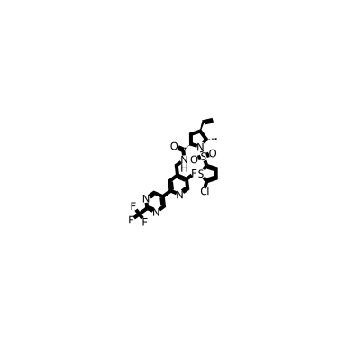 C=C[C@@H]1C[C@@H](C(=O)NCc2cc(-c3cnc(C(F)(F)F)nc3)ncc2F)N(S(=O)(=O)c2ccc(Cl)s2)[C@H]1C